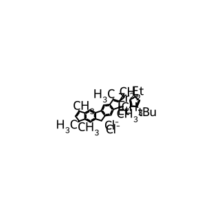 [CH2]=[Zr+2]([C]1=C(CC)C(C(C)(C)C)=CC1CC)[C]1=C(C)c2cc3c(cc2C1(C)C)Cc1cc2c(cc1-3)C(C)=CC2(C)C.[Cl-].[Cl-]